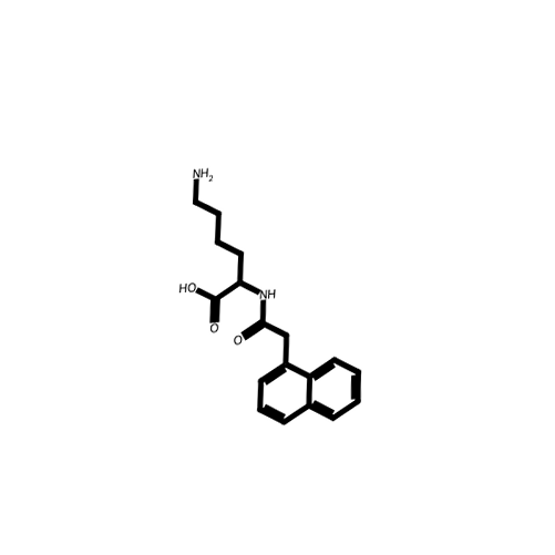 NCCCCC(NC(=O)Cc1cccc2ccccc12)C(=O)O